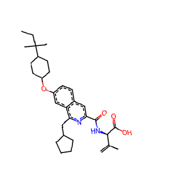 C=C(C)[C@@H](NC(=O)c1cc2ccc(OC3CCC(C(C)(C)CC)CC3)cc2c(CC2CCCC2)n1)C(=O)O